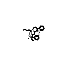 CCCCC(=O)N1CCc2c([nH]c3ccccc23)C1CCC(CC)(c1cccc(F)c1)N(C)C